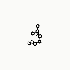 c1ccc(Oc2cccc(-c3cccc(-c4cccc(Oc5ccc(-c6ccccc6)cc5-c5ccccc5)c4)c3)c2)cc1